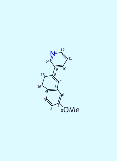 COc1ccc2c(c1)C=C(c1cccnc1)CC2